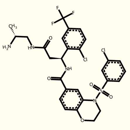 C[C@@H](N)CNC(=O)C[C@H](NC(=O)c1ccc2c(c1)N(S(=O)(=O)c1cccc(Cl)c1)CCO2)c1cc(C(F)(F)F)ccc1Cl